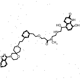 CN(CCNCC(O)c1ccc(O)c2[nH]c(=O)ccc12)C(=O)CCOCCc1cccc(CCN2CCC3(CC2)CN(c2nsc4ccccc24)CCO3)c1